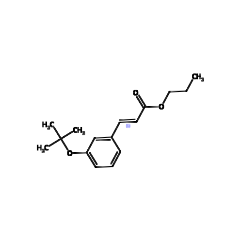 CCCOC(=O)/C=C/c1cccc(OC(C)(C)C)c1